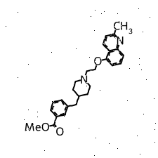 COC(=O)c1cccc(CC2CCN(CCOc3cccc4nc(C)ccc34)CC2)c1